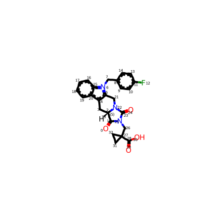 O=C1[C@@H]2Cc3c(n(Cc4ccc(F)cc4)c4ccccc34)CN2C(=O)N1CC1(C(=O)O)CC1